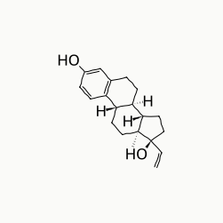 C=C[C@@]1(O)CC[C@H]2[C@@H]3CCc4cc(O)ccc4[C@H]3CC[C@@]21C